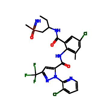 CCC(CS(C)(=N)=O)NC(=O)c1cc(Cl)cc(C)c1NC(=O)c1cc(C(F)(F)F)nn1-c1ncccc1Cl